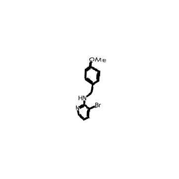 COc1ccc(CNc2ncccc2Br)cc1